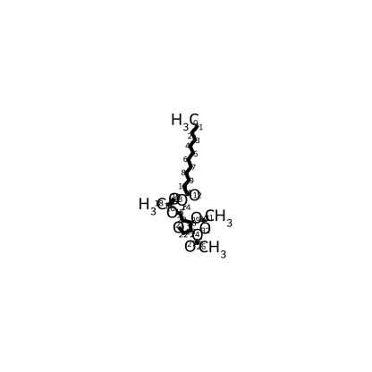 CCCCCCCCCCCC(=O)OC[C@@H](OC(C)=O)[C@H]1OC[C@H](OC(C)=O)[C@H]1OC(C)=O